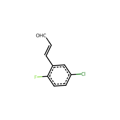 O=C/C=C/c1cc(Cl)ccc1F